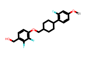 CCOc1ccc(C2CCC(COc3ccc(CO)c(F)c3F)CC2)c(F)c1